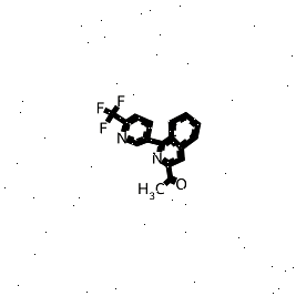 CC(=O)c1cc2ccccc2c(-c2ccc(C(F)(F)F)nc2)n1